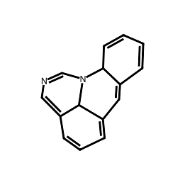 C1=CC2=CC3=CC=CC4=CN=CN(C2C=C1)C34